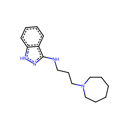 c1ccc2c(NCCCN3CCCCCC3)n[nH]c2c1